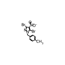 Cc1ccc(Cn2nc(Br)c([N+](=O)[O-])c2Br)cc1